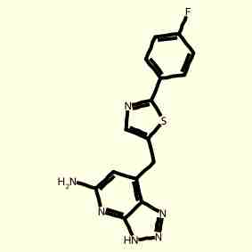 Nc1cc(Cc2cnc(-c3ccc(F)cc3)s2)c2nn[nH]c2n1